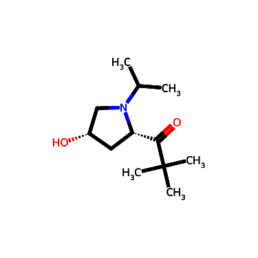 CC(C)N1C[C@@H](O)C[C@H]1C(=O)C(C)(C)C